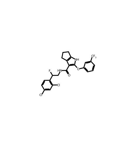 O=C(NCC(F)c1ccc(Cl)cc1Cl)c1c(Oc2cccc(C(F)(F)F)c2)[nH]c2c1CCC2